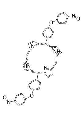 O=Nc1ccc(Oc2ccc(-c3c4nc(cc5ccc([nH]5)c(-c5ccc(Oc6ccc(N=O)cc6)cc5)c5nc(cc6ccc3[nH]6)C=C5)C=C4)cc2)cc1